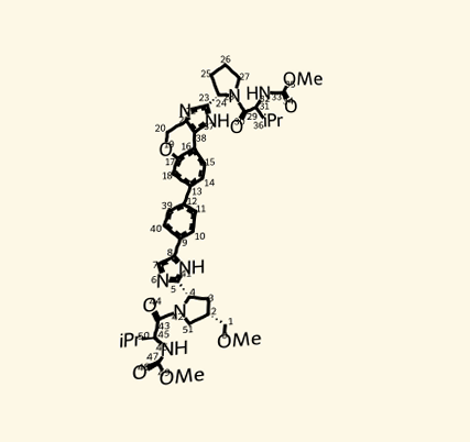 COC[C@H]1C[C@@H](c2ncc(-c3ccc(-c4ccc5c(c4)OCc4nc([C@@H]6CCCN6C(=O)C(NC(=O)OC)C(C)C)[nH]c4-5)cc3)[nH]2)N(C(=O)[C@@H](NC(=O)OC)C(C)C)C1